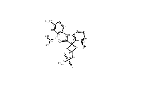 Cc1ccc(NC(=O)C2(c3ccccc3C(C)C)CC(CS(C)(=O)=O)C2)c(OC(F)F)n1